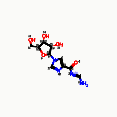 N/C=N/C(=O)c1cn([C@H]2O[C@@H](CO)[C@H](O)[C@@H]2O)cn1